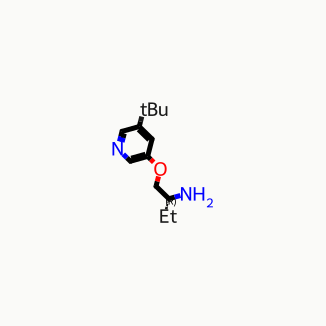 CC[C@@H](N)COc1cncc(C(C)(C)C)c1